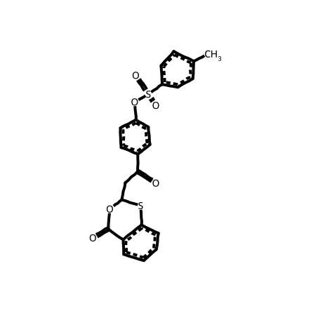 Cc1ccc(S(=O)(=O)Oc2ccc(C(=O)CC3OC(=O)c4ccccc4S3)cc2)cc1